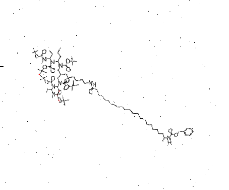 CCCC(N(CC(CCCCCCNC(=O)CCCCCCCCCCCCCCCCCCCCCC(C)NC(=O)OCc1ccccc1)CN(C(=O)OC(C)(C)C)C(CCC)N(C(=O)OC(C)(C)C)C(CC)N(C)C(=O)OC(C)(C)C)C(=O)OC(C)(C)C)N(C(=O)OC(C)(C)C)C(CC)N(C)C(=O)OC(C)(C)C